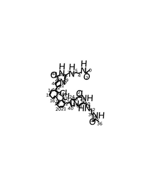 CC(=O)NCCNCc1cn2cc(-c3cccc(-c4cccc(-c5cc6c(=O)[nH]c(CNCCNC(C)=O)cn6c5)c4Cl)c3Cl)cc2c(=O)[nH]1